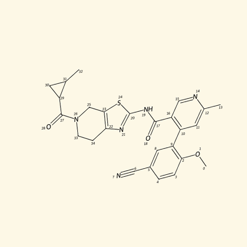 COc1ccc(C#N)cc1-c1cc(C)ncc1C(=O)Nc1nc2c(s1)CN(C(=O)C1CC1C)CC2